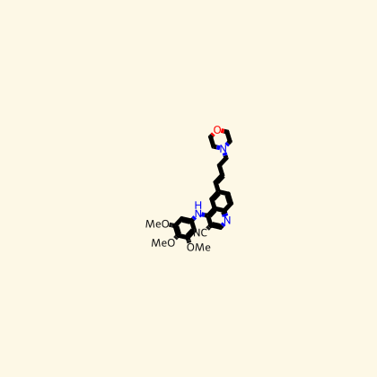 COc1cc(Nc2c(C#N)cnc3ccc(C=CCCN4CCOCC4)cc23)cc(OC)c1OC